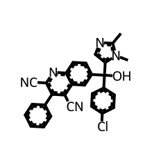 Cc1ncc(C(O)(c2ccc(Cl)cc2)c2ccc3nc(C#N)c(-c4ccccc4)c(C#N)c3c2)n1C